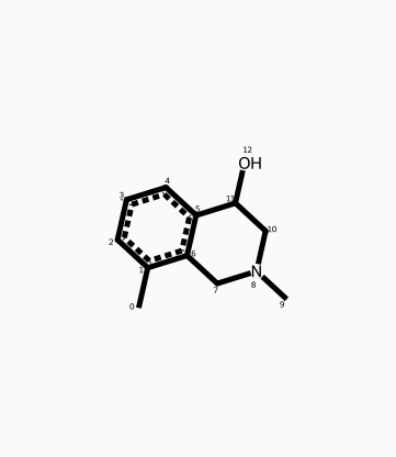 Cc1c[c]cc2c1CN(C)CC2O